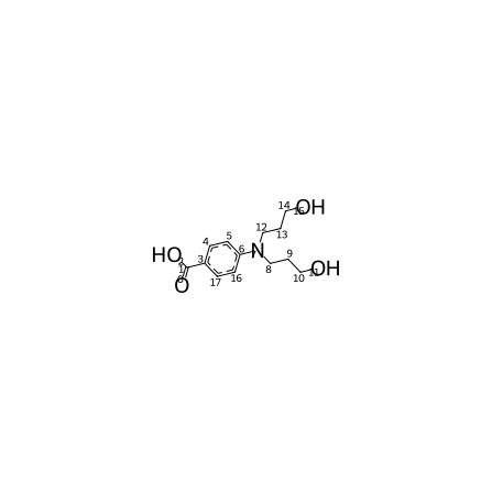 O=C(O)c1ccc(N(CCCO)CCCO)cc1